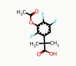 CC(=O)Oc1c(F)c(F)cc(C(C)(C)C(=O)O)c1F